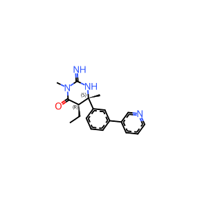 CC[C@H]1C(=O)N(C)C(=N)N[C@]1(C)c1cccc(-c2cccnc2)c1